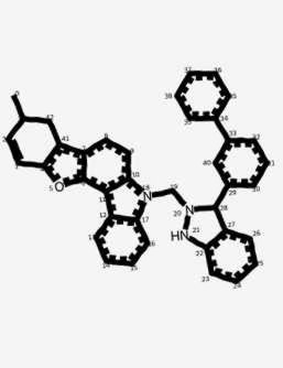 CC1C=Cc2oc3c(ccc4c3c3ccccc3n4CN3Nc4ccccc4C3c3cccc(-c4ccccc4)c3)c2C1